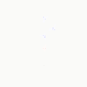 Cc1cn(COCC[Si](C)(C)C)c2nccnc12